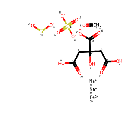 C=O.O=C(O)CC(O)(CC(=O)O)C(=O)O.O=S(=O)([O-])[O-].[Fe+2].[Na+].[Na+].[O-]S[O-]